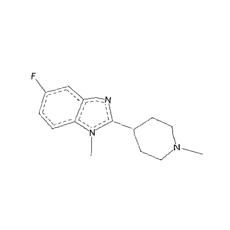 CN1CCC(c2nc3cc(F)ccc3n2C)CC1